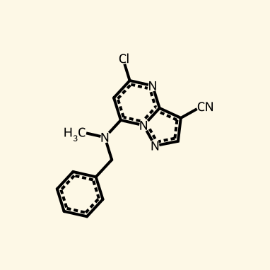 CN(Cc1ccccc1)c1cc(Cl)nc2c(C#N)cnn12